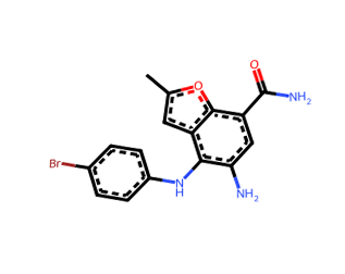 Cc1cc2c(Nc3ccc(Br)cc3)c(N)cc(C(N)=O)c2o1